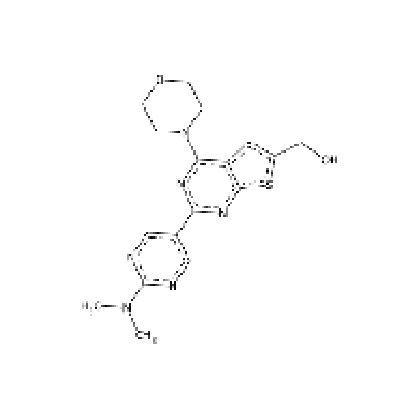 CN(C)c1ncc(-c2nc(N3CCOCC3)c3cc(CO)sc3n2)cn1